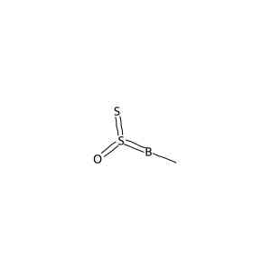 CB=S(=O)=S